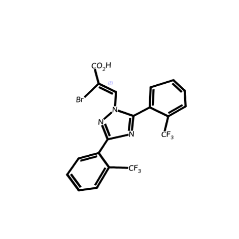 O=C(O)/C(Br)=C/n1nc(-c2ccccc2C(F)(F)F)nc1-c1ccccc1C(F)(F)F